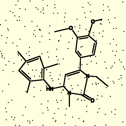 CCN1C(=O)N(C)C(Nc2c(C)cc(C)cc2C)C=C1c1ccc(OC)c(OC)c1